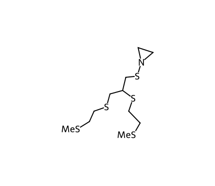 CSCCSCC(CSN1CC1)SCCSC